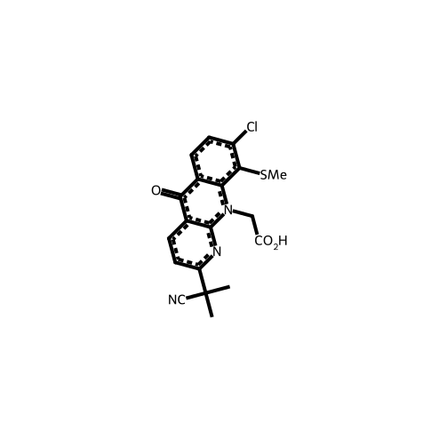 CSc1c(Cl)ccc2c(=O)c3ccc(C(C)(C)C#N)nc3n(CC(=O)O)c12